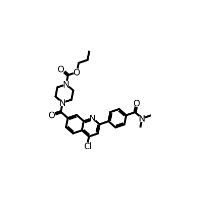 CCCOC(=O)N1CCN(C(=O)c2ccc3c(Cl)cc(-c4ccc(C(=O)N(C)C)cc4)nc3c2)CC1